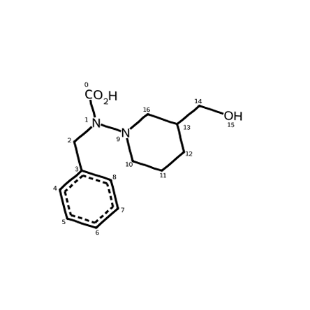 O=C(O)N(Cc1ccccc1)N1CCCC(CO)C1